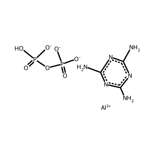 Nc1nc(N)nc(N)n1.O=P([O-])([O-])OP(=O)([O-])O.[Al+3]